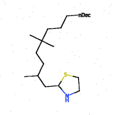 CCCCCCCCCCCCCC(C)(C)CCC(C)CC1NCCS1